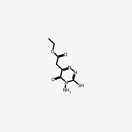 CCOC(=O)Cc1nnc(S)n(N)c1=O